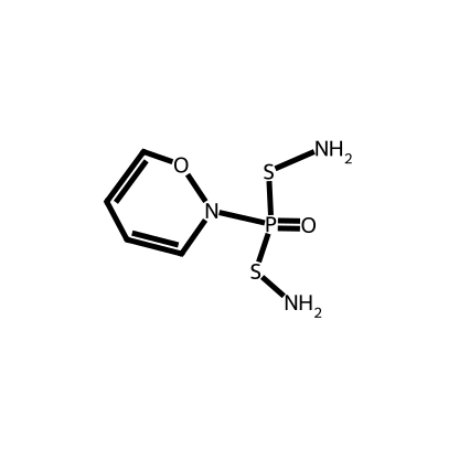 NSP(=O)(SN)N1C=CC=CO1